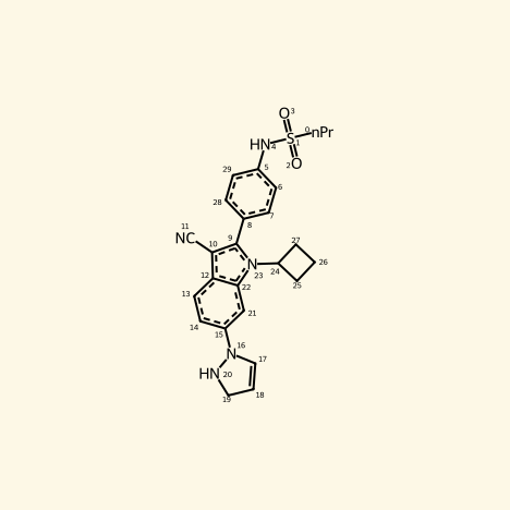 CCCS(=O)(=O)Nc1ccc(-c2c(C#N)c3ccc(N4C=CCN4)cc3n2C2CCC2)cc1